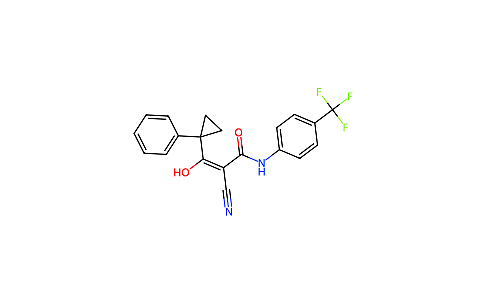 N#C/C(C(=O)Nc1ccc(C(F)(F)F)cc1)=C(\O)C1(c2ccccc2)CC1